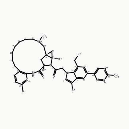 CC(=O)c1nn(CC(=O)N2[C@H]3C[C@]4(C[C@@H]24)CN(C)CCCCCCCc2ccc(Br)nc2NC3=O)c2c(CF)cc(-c3cnc(C)nc3)cc12